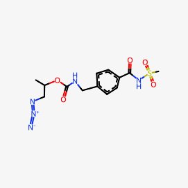 CC(CN=[N+]=[N-])OC(=O)NCc1ccc(C(=O)NS(C)(=O)=O)cc1